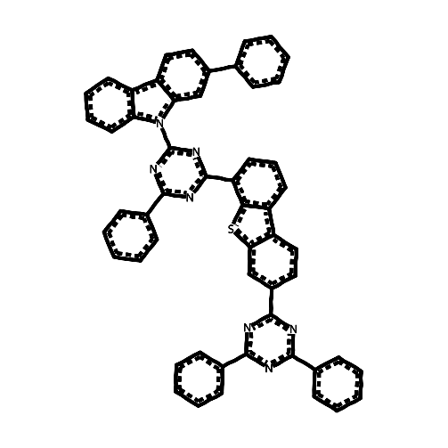 c1ccc(-c2ccc3c4ccccc4n(-c4nc(-c5ccccc5)nc(-c5cccc6c5sc5cc(-c7nc(-c8ccccc8)nc(-c8ccccc8)n7)ccc56)n4)c3c2)cc1